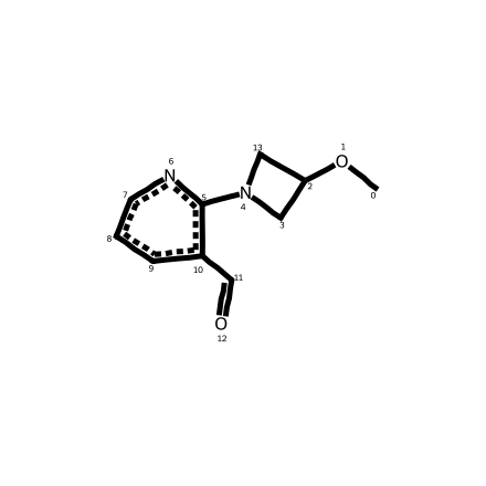 COC1CN(c2ncccc2C=O)C1